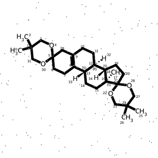 CC1(C)COC2(CCC3=C(CC[C@@H]4[C@@H]3CC[C@@]3(C)[C@H]4CCC34OCC(C)(C)CO4)C2)OC1